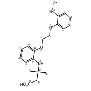 CC(C)Nc1ccccc1OCCOc1ccccc1NC(C)(C)CC(=O)O